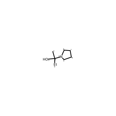 CCC(C)(O)N1CCCC1